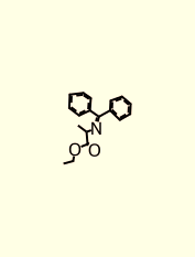 CCOC(=O)C(C)N=C(c1ccccc1)c1ccccc1